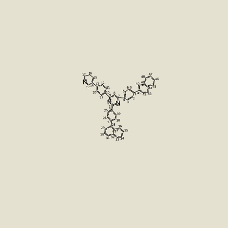 C=C(/C=C\C(=C/C)c1cc(-c2ccc(C3=CCCN=C3)cc2)nc(-c2ccc(-c3cccc4ccccc34)cc2)n1)c1ccc2ccccc2c1